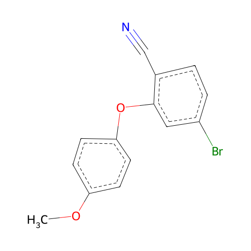 COc1ccc(Oc2cc(Br)ccc2C#N)cc1